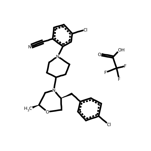 C[C@H]1CN(C2CCN(c3cc(Cl)ccc3C#N)CC2)[C@@H](Cc2ccc(Cl)cc2)CO1.O=C(O)C(F)(F)F